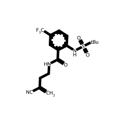 C=C(C#N)CCNC(=O)c1cc(C(F)(F)F)ccc1NS(=O)(=O)C(C)(C)C